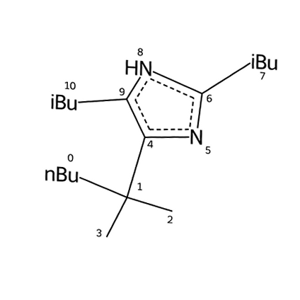 CCCCC(C)(C)c1nc(C(C)CC)[nH]c1C(C)CC